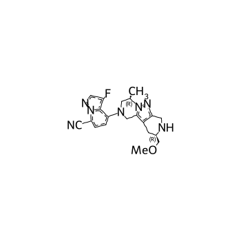 COC[C@H]1Cc2c(nn3c2CN(c2ccc(C#N)n4ncc(F)c24)C[C@H]3C)CN1